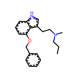 CCCN(C)CCc1c[nH]c2cccc(OCc3ccccc3)c12